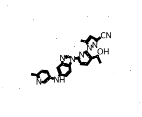 Cc1ccc(Nc2ccc3c(c2)ncn3-c2ccc(C(C)O)c(-n3nc(C#N)cc3C)n2)cn1